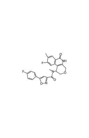 Cc1cc2c(=O)[nH]c3c(c2cc1F)C(N(C)C(=O)c1cc(-c2ccc(F)cc2)on1)COC3